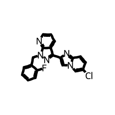 Fc1ccccc1Cn1nc(-c2cn3cc(Cl)ccc3n2)c2cccnc21